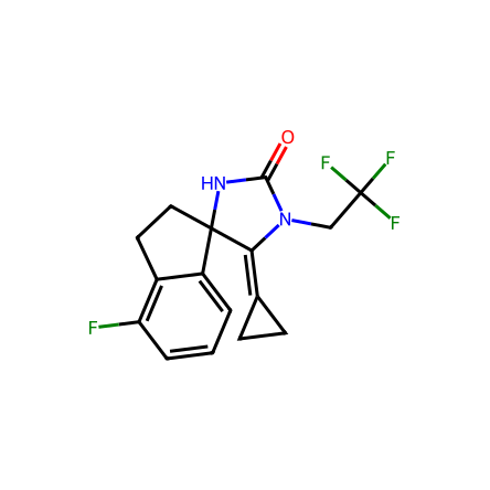 O=C1NC2(CCc3c(F)cccc32)C(=C2CC2)N1CC(F)(F)F